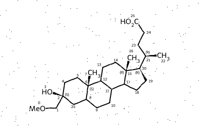 COC[C@]1(O)CC[C@@]2(C)C(CCC3C2CC[C@@]2(C)C3CC[C@@H]2[C@H](C)CCC(=O)O)C1